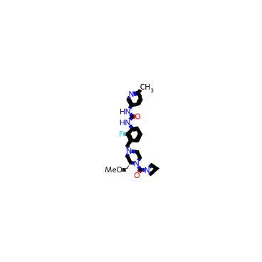 COC[C@@H]1CN(Cc2cccc(NC(=O)Nc3ccc(C)nc3)c2F)CCN1C(=O)N1CCC1